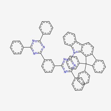 c1ccc(-c2nc(-c3ccccc3)nc(-c3cccc(-c4nc(-c5ccccc5)nc(-n5c6ccccc6c6ccc7c(c65)C(c5ccccc5)(c5ccccc5)c5ccccc5-7)n4)c3)n2)cc1